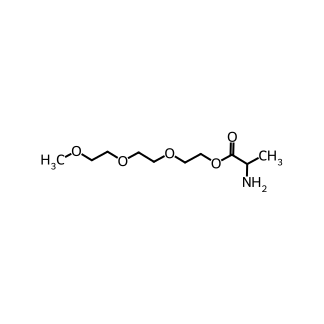 COCCOCCOCCOC(=O)C(C)N